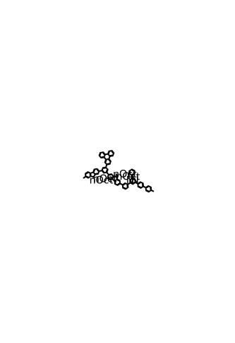 CCCCCCCCC1(CCCCCCCC)c2cc(C)ccc2-c2ccc(-c3cc(-c4ccc5c(c4)C(CCCCCCCC)(CCCCCCCC)c4cc(-c6cccc(-c7cc(-c8ccc(-c9ccc(C)cc9)cc8)nc(-c8ccccc8)n7)c6)ccc4-5)cc(-c4ccc5c6ccccc6c6ccccc6c5c4)c3)cc21